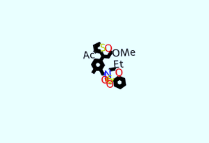 CC[C@@H]1CN(Cc2cc(C(CC(=O)OC)c3sccc3C(C)=O)ccc2C)S(=O)(=O)c2ccccc2O1